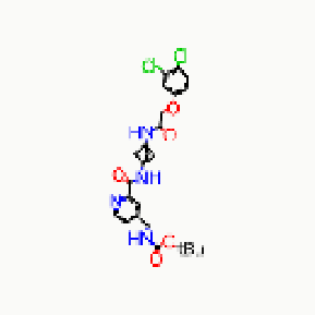 CC(C)(C)OC(=O)NCc1ccnc(C(=O)NC23CC(NC(=O)COc4ccc(Cl)c(Cl)c4)(C2)C3)c1